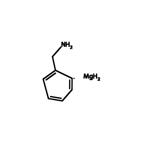 NCc1[c]cccc1.[MgH2]